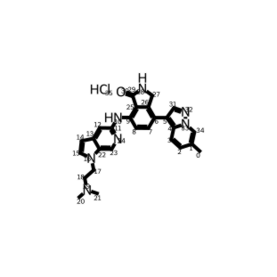 Cc1ccc2c(-c3ccc(Nc4cc5ccn(CCN(C)C)c5cn4)c4c3CNC4=O)cnn2c1.Cl